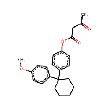 COc1ccc(C2(c3ccc(OC(=O)CC(C)=O)cc3)CCCCC2)cc1